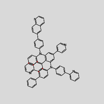 c1ccc(-c2ccc(N(c3ccc(-c4ccccn4)cc3)c3cc(-c4ccncc4)cc(N(c4ccccc4)c4ccc(-c5ccc6ncccc6c5)cc4)c3-c3ccc4ncccc4c3)cc2)cc1